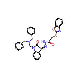 O=C(CSc1nc2ccccc2o1)N/N=C1\C(=O)N(CN(Cc2ccccc2)Cc2ccccc2)c2ccccc21